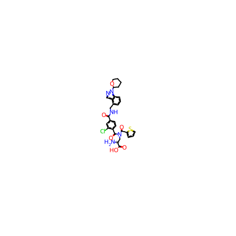 N[C@@H](CN(C(=O)c1cccs1)C(=O)c1ccc(C(=O)NCc2cccc3c2cnn3C2CCCCO2)cc1Cl)C(=O)O